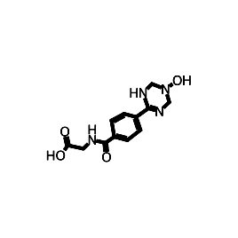 O=C(O)CNC(=O)c1ccc(C2=NCN(O)CN2)cc1